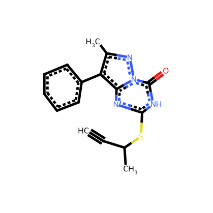 C#CC(C)Sc1nc2c(-c3ccccc3)c(C)nn2c(=O)[nH]1